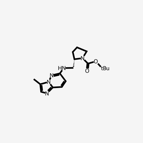 Cc1cnc2ccc(NC[C@@H]3CCCN3C(=O)OC(C)(C)C)nn12